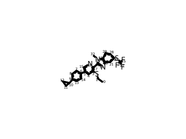 CCSc1cc(-c2ccc(C3CC3)cc2)cnc1-c1nc2cc(SC(F)(F)F)ccc2n1C